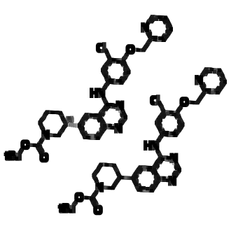 CC(C)(C)OC(=O)N1CCCC(c2ccc3ncnc(Nc4ccc(OCc5ccccn5)c(Cl)c4)c3c2)C1.CC(C)(C)OC(=O)N1CCC[C@H](c2ccc3ncnc(Nc4ccc(OCc5ccccn5)c(Cl)c4)c3c2)C1